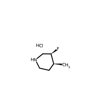 C[C@H]1CCNC[C@H]1F.Cl